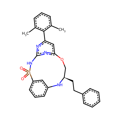 Cc1cccc(C)c1-c1cc2nc(n1)NS(=O)(=O)c1cccc(c1)N[C@H](CCc1ccccc1)CO2